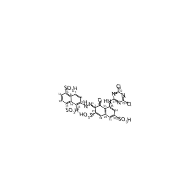 O=C1/C(=N/Nc2ccc3c(S(=O)(=O)O)cccc3c2S(=O)(=O)O)C(S(=O)(=O)O)=Cc2cc(S(=O)(=O)O)cc(Nc3nc(Cl)nc(Cl)n3)c21